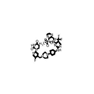 CN(c1nccnc1CNc1nc(Nc2ccc(N3CCN(Cc4cc(N5CCC(=O)NC5=O)ncc4F)CC3)cc2)ncc1C(F)(F)F)S(C)(=O)=O